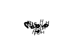 Cc1cc(NC(=O)C2C[C@@H]3CC[C@H]2C3)ccc1N1CCC(N2CCCC2C)C1.O=C(O)C(F)(F)F